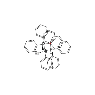 [Br][Ni]([c]1ccccc1)([PH](c1ccccc1)(c1ccccc1)c1ccccc1)[PH](c1ccccc1)(c1ccccc1)c1ccccc1